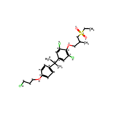 CCS(=O)(=O)CC(C)COc1c(Cl)cc(C(C)(C)c2ccc(OCCCCl)cc2)cc1Cl